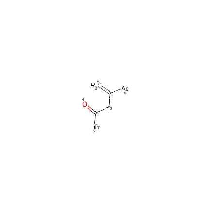 C=C(CC(=O)C(C)C)C(C)=O